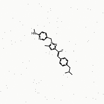 CNc1ccc(Cn2nc(C(F)=Cc3ccc(CC(C)C)cc3)cc2C)cn1